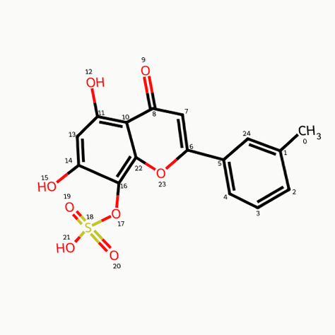 Cc1cccc(-c2cc(=O)c3c(O)cc(O)c(OS(=O)(=O)O)c3o2)c1